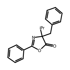 CC(C)C1(Cc2ccccc2)N=C(c2ccccc2)OC1=O